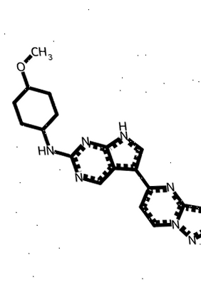 COC1CCC(Nc2ncc3c(-c4ccn5nccc5n4)c[nH]c3n2)CC1